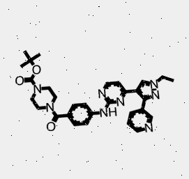 CCn1cc(-c2ccnc(Nc3ccc(C(=O)N4CCN(C(=O)OC(C)(C)C)CC4)cc3)n2)c(-c2cccnc2)n1